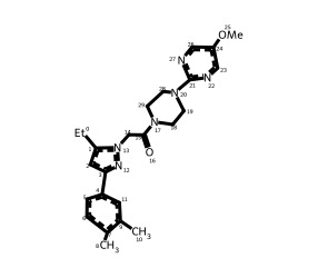 CCc1cc(-c2ccc(C)c(C)c2)nn1CC(=O)N1CCN(c2ncc(OC)cn2)CC1